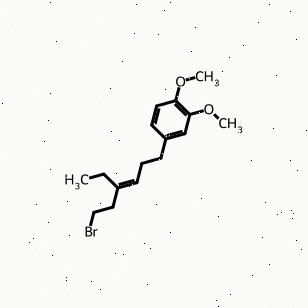 CC/C(=C\CCc1ccc(OC)c(OC)c1)CCBr